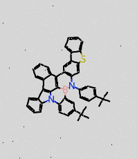 CC(C)(C)c1ccc(N2B3c4cc(C(C)(C)C)ccc4-n4c5ccccc5c5c6ccccc6c(c3c54)-c3cc4c(cc32)sc2ccccc24)cc1